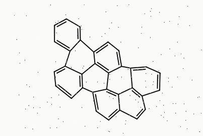 c1ccc2c(c1)c1cccc3c4ccc5ccc6cccc7c8ccc2c(c13)c8c4c5c67